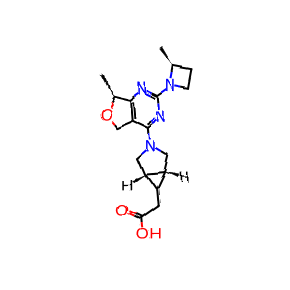 C[C@@H]1OCc2c1nc(N1CC[C@@H]1C)nc2N1C[C@@H]2C(CC(=O)O)[C@@H]2C1